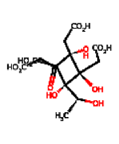 C[C@@H](O)[C@@](O)(CC(=O)O)[C@@](O)(CC(=O)O)[C@](O)(CC(=O)O)C(=O)CC(=O)O